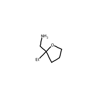 CCC1(CN)CCCO1